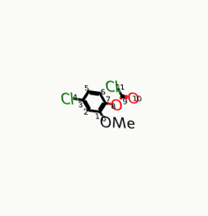 COc1cc(Cl)ccc1OC(=O)Cl